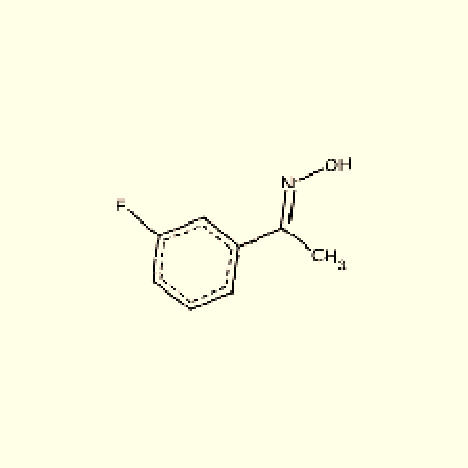 CC(=NO)c1cccc(F)c1